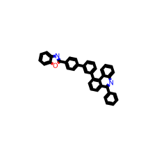 c1ccc(-c2nc3ccccc3c3c(-c4cccc(-c5ccc(-c6nc7ccccc7o6)cc5)c4)cccc23)cc1